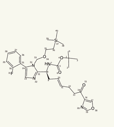 CC(C)(C)OC(=O)N[C@@H](C/C=C/CCC(=O)c1cocn1)c1ncc(-c2ccccc2F)n1COCC[Si](C)(C)C